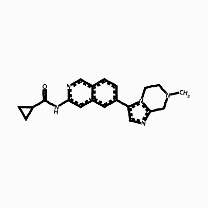 CN1CCn2c(-c3ccc4cnc(NC(=O)C5CC5)cc4c3)cnc2C1